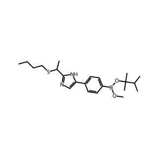 CCCCSC(C)c1ncc(-c2ccc(B(OC)OC(C)(C)C(C)C)cc2)[nH]1